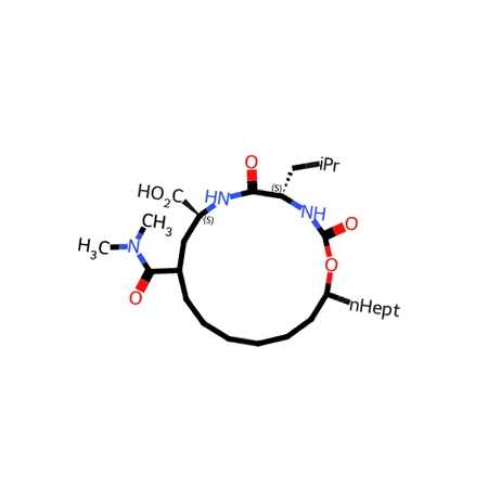 CCCCCCCC1CCCCCCC(C(=O)N(C)C)C[C@@H](C(=O)O)NC(=O)[C@H](CC(C)C)NC(=O)O1